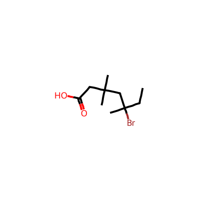 CCC(C)(Br)CC(C)(C)CC(=O)O